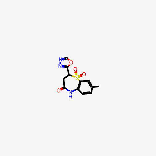 Cc1ccc2c(c1)S(=O)(=O)C(c1nnco1)CC(=O)N2